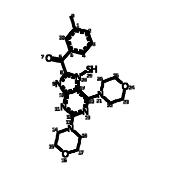 Cc1cccc(C(=O)c2nc3nc(N4CCOCC4)nc(N4CCOCC4)c3n2S)c1